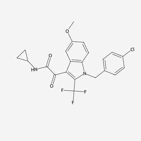 COc1ccc2c(c1)c(C(=O)C(=O)NC1CC1)c(C(F)(F)F)n2Cc1ccc(Cl)cc1